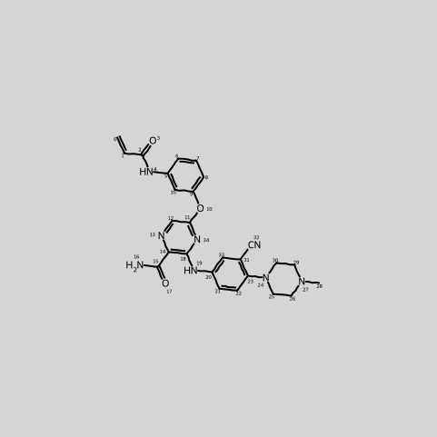 C=CC(=O)Nc1cccc(Oc2cnc(C(N)=O)c(Nc3ccc(N4CCN(C)CC4)c(C#N)c3)n2)c1